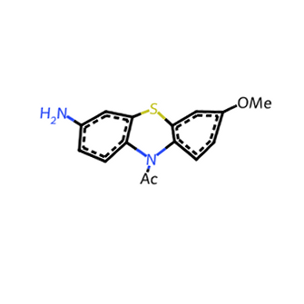 COc1ccc2c(c1)Sc1cc(N)ccc1N2C(C)=O